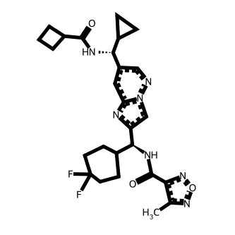 Cc1nonc1C(=O)N[C@H](c1cn2ncc([C@H](NC(=O)C3CCC3)C3CC3)cc2n1)C1CCC(F)(F)CC1